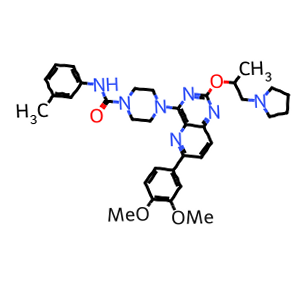 COc1ccc(-c2ccc3nc(OC(C)CN4CCCC4)nc(N4CCN(C(=O)Nc5cccc(C)c5)CC4)c3n2)cc1OC